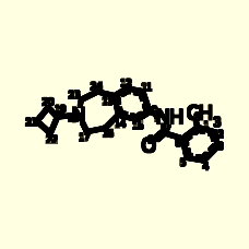 Cc1ccccc1C(=O)Nc1ccc2c(c1)CCN(C1CCC1)CC2